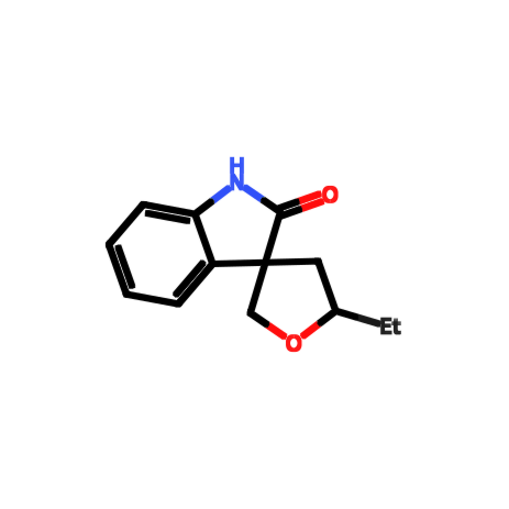 CCC1CC2(CO1)C(=O)Nc1ccccc12